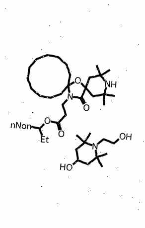 CC1(C)CC(O)CC(C)(C)N1CCO.CCCCCCCCCC(CC)OC(=O)CCN1C(=O)C2(CC(C)(C)NC(C)(C)C2)OC12CCCCCCCCCCC2